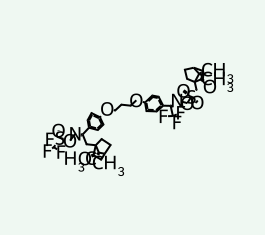 CC1(C)C2CCC1(C/C(=N\OS(=O)C(F)(F)F)c1ccc(OCCCOc3ccc(/C(=N/OS(=O)(=O)CC45CCC(CC4=O)C5(C)C)C(F)(F)F)cc3)cc1)C(=O)C2